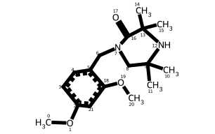 COc1ccc(CN2CC(C)(C)NC(C)(C)C2=O)c(OC)c1